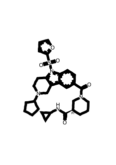 O=C(NC1CC1)[C@@H]1CCCN(C(=O)c2ccc3c(c2)c2c(n3S(=O)(=O)c3ccco3)CCN(C3CCCC3)C2)C1